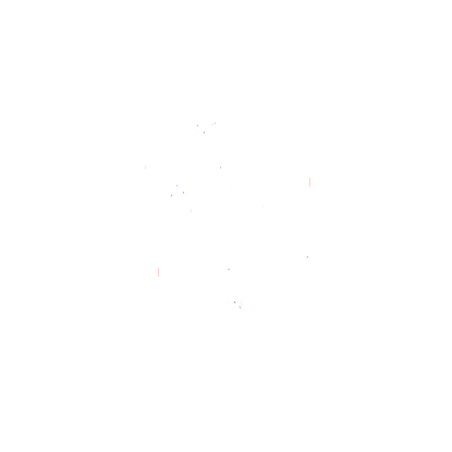 O=C(O)c1cccnc1C(=O)O.c1c[nH]cn1